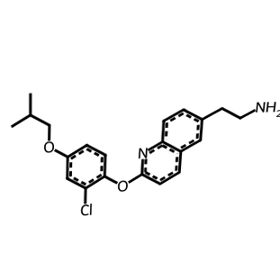 CC(C)COc1ccc(Oc2ccc3cc(CCN)ccc3n2)c(Cl)c1